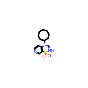 O=S1(=O)NCN(C2CCCCCCC2)c2ccncc21